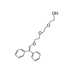 OCCOCCOCCOC=C(c1ccccc1)c1ccccc1